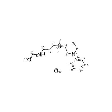 CCN(CC[N+](C)(C)CCCNC=O)c1ccccc1.[Cl-]